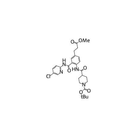 COC(=O)CCc1ccc(NC(=O)C2CCN(C(=O)OC(C)(C)C)CC2)c(C(=O)Nc2ccc(Cl)cn2)c1